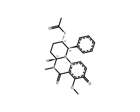 COc1c2n(ccc1=O)N1[C@H](c3ccccc3)[C@@H](SC(C)=O)CC[C@H]1N(C)C2=O